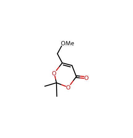 COCC1=CC(=O)OC(C)(C)O1